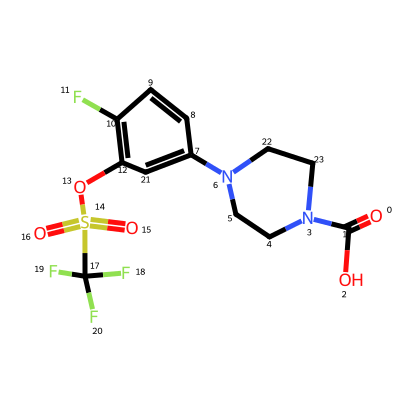 O=C(O)N1CCN(c2ccc(F)c(OS(=O)(=O)C(F)(F)F)c2)CC1